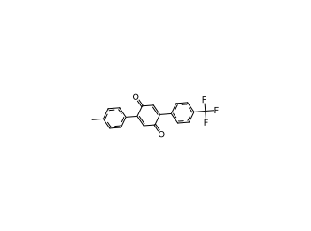 Cc1ccc(C2=CC(=O)C(c3ccc(C(F)(F)F)cc3)=CC2=O)cc1